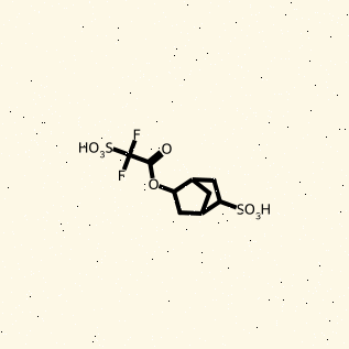 O=C(OC1CC2CC1CC2S(=O)(=O)O)C(F)(F)S(=O)(=O)O